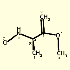 C=C(OC)[C@@H](C)NCl